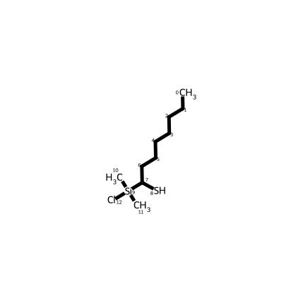 CCCCCCCC(S)[Si](C)(C)Cl